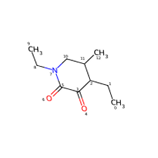 CCC1C(=O)C(=O)N(CC)CC1C